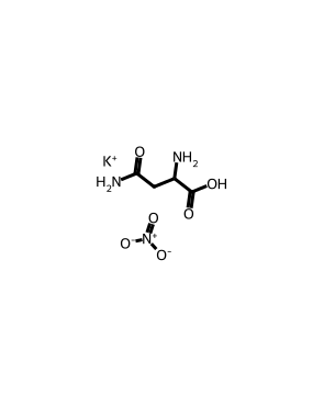 NC(=O)CC(N)C(=O)O.O=[N+]([O-])[O-].[K+]